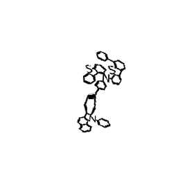 c1ccc(-c2cccc3c2sc2c(N(c4ccc(-c5ccc6c7ccc8ccccc8c7n(-c7ccccc7)c6c5)cc4)c4cccc5sc6ccccc6c45)cccc23)cc1